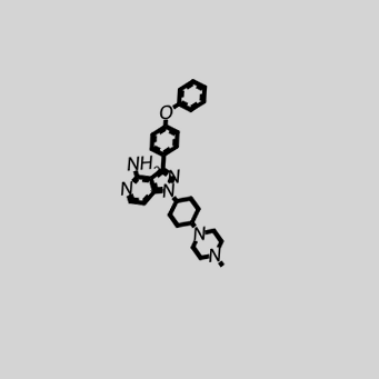 CN1CCN(C2CCC(n3nc(-c4ccc(Oc5ccccc5)cc4)c4c(N)nccc43)CC2)CC1